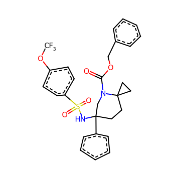 O=C(OCc1ccccc1)N1CC(NS(=O)(=O)c2ccc(OC(F)(F)F)cc2)(c2ccccc2)CCC12CC2